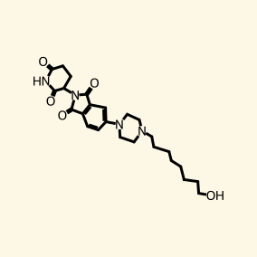 O=C1CCC(N2C(=O)c3ccc(N4CCN(CCCCCCCCO)CC4)cc3C2=O)C(=O)N1